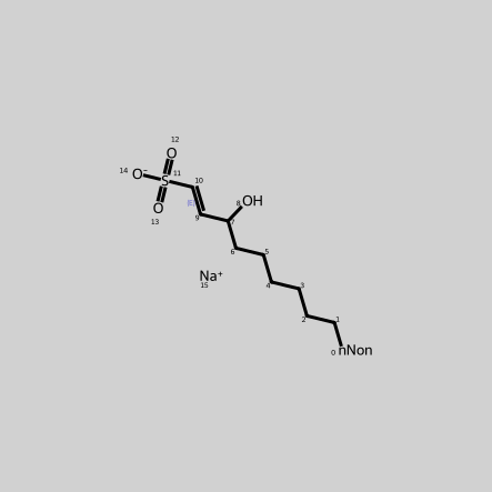 CCCCCCCCCCCCCCCC(O)/C=C/S(=O)(=O)[O-].[Na+]